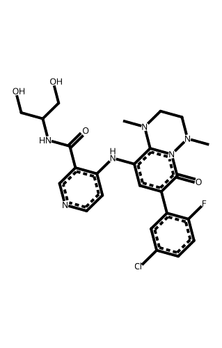 CN1CCN(C)n2c1c(Nc1ccncc1C(=O)NC(CO)CO)cc(-c1cc(Cl)ccc1F)c2=O